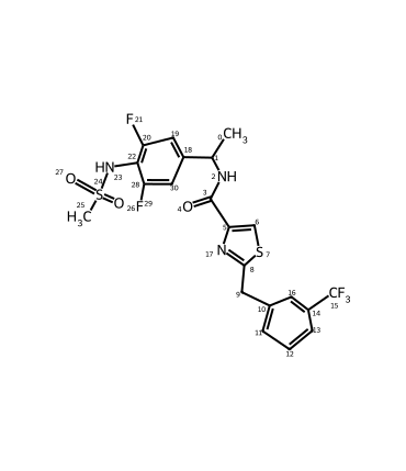 CC(NC(=O)c1csc(Cc2cccc(C(F)(F)F)c2)n1)c1cc(F)c(NS(C)(=O)=O)c(F)c1